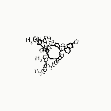 COCCO[C@H]1/C=C/[C@H](OC)[C@@H]2CC[C@H]2CN2C[C@@]3(CCCc4cc(Cl)ccc43)COc3ccc(cc32)C(=O)N=[S@](=O)(NC(=O)c2cn(C)nc2OC)C[C@H]1C